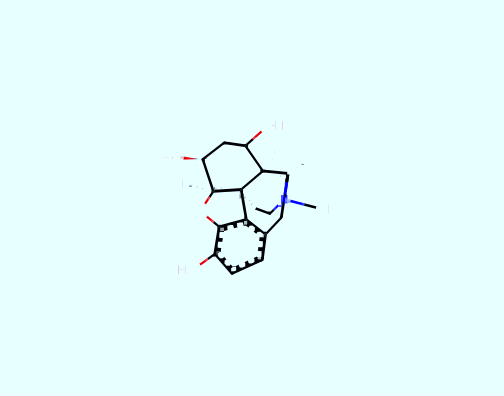 CN1CC[C@]23c4c5ccc(O)c4O[C@H]2[C@@H](O)CC(O)[C@@]3(O)[C@H]1C5